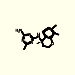 Cc1nc(N)nc(N[C@]2(C)CCOc3c2ccc(C)c3C)n1